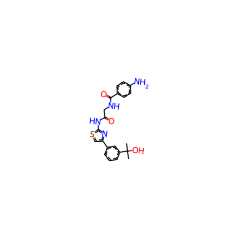 CC(C)(O)c1cccc(-c2csc(NC(=O)CNC(=O)c3ccc(N)cc3)n2)c1